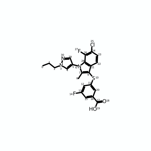 CCCn1cc(-n2c(C)c(Sc3cc(F)cc(C(=O)O)c3)c3ccc(Cl)c(F)c32)cn1